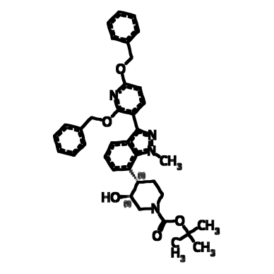 Cn1nc(-c2ccc(OCc3ccccc3)nc2OCc2ccccc2)c2cccc([C@@H]3CCN(C(=O)OC(C)(C)C)C[C@H]3O)c21